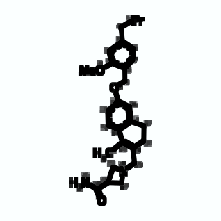 COc1cc(CC(C)C)ccc1COc1ccc2c(c1)CCC(CN1CC(C(N)=O)C1)=C2C